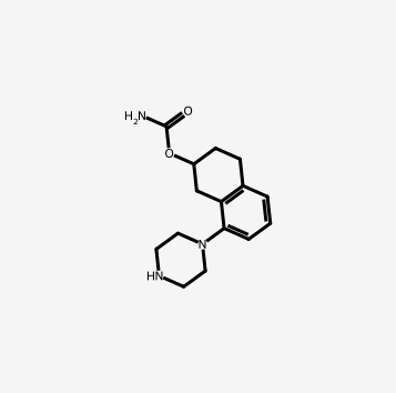 NC(=O)OC1CCc2cccc(N3CCNCC3)c2C1